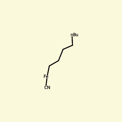 CCCCCCC[CH2][Fe][C]#N